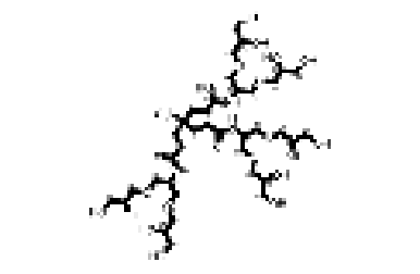 O=C(CCC(CCC(=O)NC(COCC(O)CO)COCC(O)CO)(CCC(O)NC(COCC(O)CO)COCC(O)CO)[N+](=O)[O-])NC(COCC(O)CO)COCC(O)CO